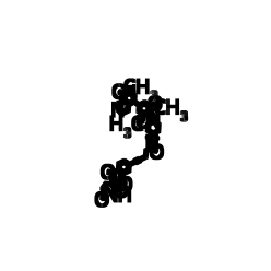 COc1cc(-c2cn(C)c(=O)c3cnccc23)cc(OC)c1CN1CCC2(CC1)CN(C(=O)CCC#Cc1ccc3c(c1)C(=O)N(C1CCC(=O)NC1=O)C3=O)C2